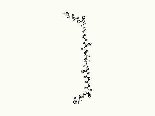 O=C(CCSCSCCC[S+]([O-])CCSCSCCSC(=O)CCSCSCCC(=O)OCSCCO)OCSCCO